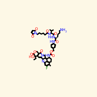 CC[C@@]1(O)C(=O)OCc2c1cc1n(c2=O)Cc2c-1nc1cc(F)c(C)c3c1c2[C@@H](NC(=O)OCc1ccc(NC(=O)[C@H](CCCCN)NC(=O)C(NC(=O)CCCCCN2C(=O)C=CC2=O)C(C)C)cc1)CC3